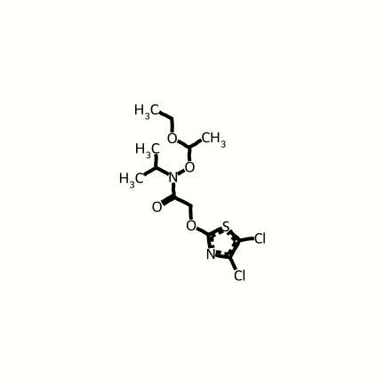 CCOC(C)ON(C(=O)COc1nc(Cl)c(Cl)s1)C(C)C